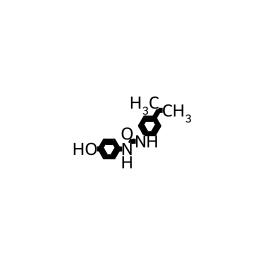 CC(C)c1ccc(NC(=O)Nc2ccc(O)cc2)cc1